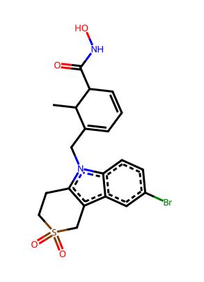 CC1C(Cn2c3c(c4cc(Br)ccc42)CS(=O)(=O)CC3)=CC=CC1C(=O)NO